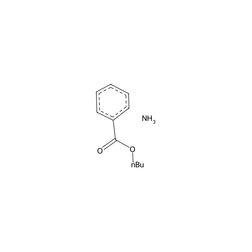 CCCCOC(=O)c1ccccc1.N